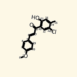 COc1ccc(C=CC(=O)c2cc(Cl)c(C)cc2O)cc1